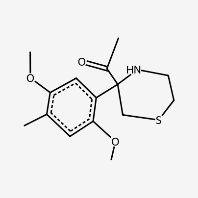 COc1cc(C2(C(C)=O)CSCCN2)c(OC)cc1C